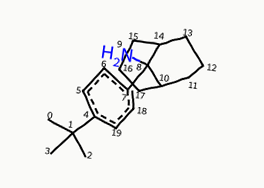 CC(C)(C)c1ccc(C2(N)C3CCCC2CCC3)cc1